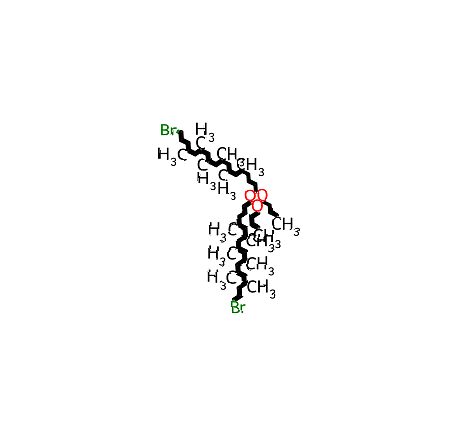 CCCCCOC(CCCC(C)CC(C)CC(C)CC(C)CC(C)CC(C)CCCBr)OC(CCCC(C)CC(C)CC(C)CC(C)CC(C)CC(C)CCCBr)OCCCCC